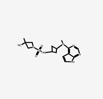 CN(c1ncnc2[nH]ccc12)C1CC(NS(=O)(=O)N2CC(C)(C#N)C2)C1